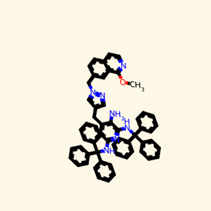 COc1nccc2ccc(Cn3cc(Cc4cc(NC(c5ccccc5)(c5ccccc5)c5ccccc5)nc(NC(c5ccccc5)(c5ccccc5)c5ccccc5)c4N)cn3)cc12